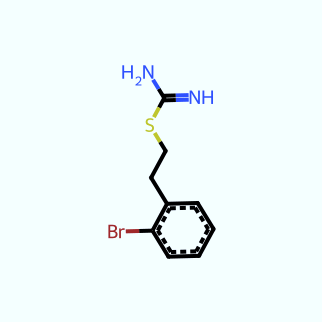 N=C(N)SCCc1ccccc1Br